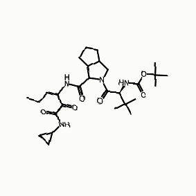 CCCC(NC(=O)C1C2CCCC2CN1C(=O)[C@@H](NC(=O)OC(C)(C)C)C(C)(C)C)C(=O)C(=O)NC1CC1